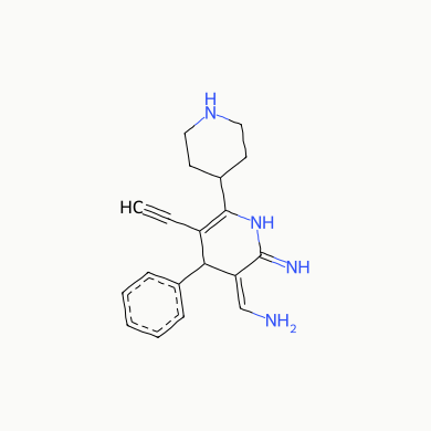 C#CC1=C(C2CCNCC2)NC(=N)/C(=C\N)C1c1ccccc1